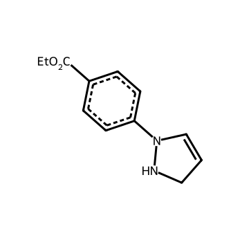 CCOC(=O)c1ccc(N2C=CCN2)cc1